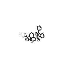 CN(C)c1cccc2c(S(=O)(=O)c3ccccc3C(=O)c3ccccc3)cccc12